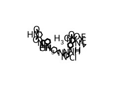 Cn1nc(C2CCC(=O)NC2=O)c2cccc(NC3CCC4(CC3)CN(c3ncc(Cl)c(Nc5ccc6c(c5)c5c(c(=O)n6C)OCC(F)(F)[C@H](C6CC6)N5)n3)C4)c21